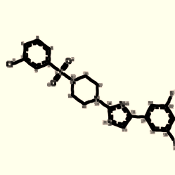 O=S(=O)(c1cccc(Cl)c1)N1CCN(c2nc(-c3cc(F)cc(F)c3)cs2)CC1